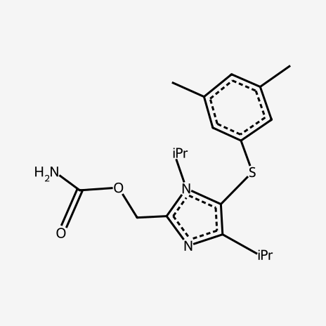 Cc1cc(C)cc(Sc2c(C(C)C)nc(COC(N)=O)n2C(C)C)c1